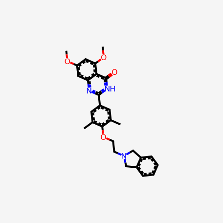 COc1cc(OC)c2c(=O)[nH]c(-c3cc(C)c(OCCN4Cc5ccccc5C4)c(C)c3)nc2c1